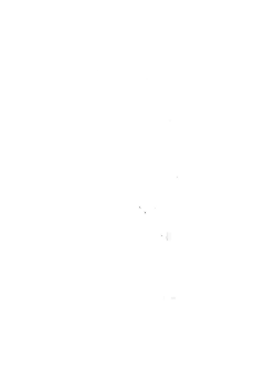 OONNOC1CCOCC1